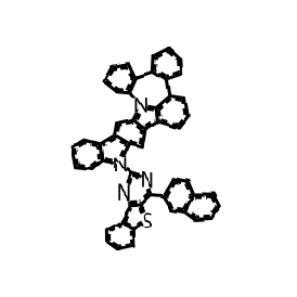 c1ccc2c(c1)-c1ccccc1-n1c3cc4c5ccccc5n(-c5nc(-c6ccc7ccccc7c6)c6sc7ccccc7c6n5)c4cc3c3cccc-2c31